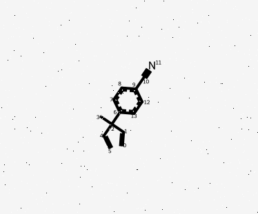 C=CC(C)(C=C)c1ccc(C#N)cc1